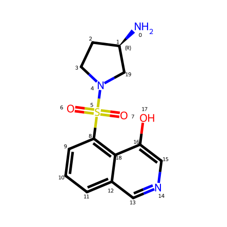 N[C@@H]1CCN(S(=O)(=O)c2cccc3cncc(O)c23)C1